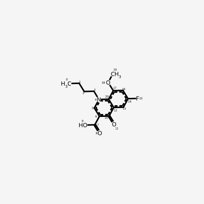 CCCCn1cc(C(=O)O)c(=O)c2cc(F)cc(OC)c21